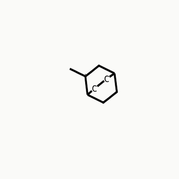 C[C]1CC2CCC1CC2